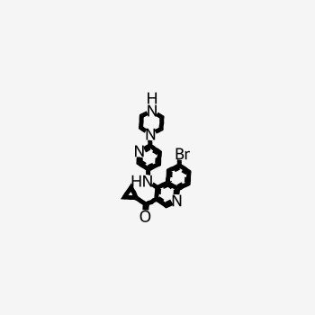 O=C(c1cnc2ccc(Br)cc2c1Nc1ccc(N2CCNCC2)nc1)C1CC1